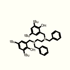 CC(C)(C)c1cc(CN(CCN(Cc2ccccc2)Cc2cc(C(C)(C)C)cc(C(C)(C)C)c2O)Cc2ccccc2)c(O)c(C(C)(C)C)c1